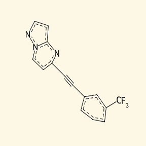 FC(F)(F)c1cccc(C#Cc2ccn3nccc3n2)c1